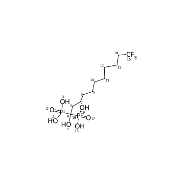 O=P(O)(O)C(O)(CCCCCCCCCC(F)(F)F)P(=O)(O)O